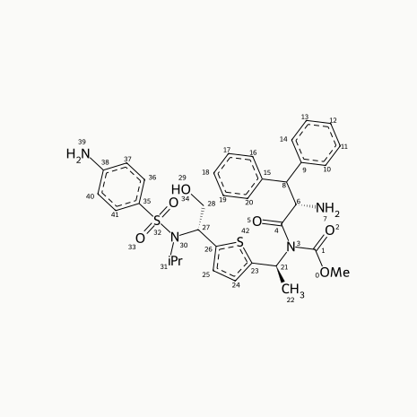 COC(=O)N(C(=O)[C@@H](N)C(c1ccccc1)c1ccccc1)[C@@H](C)c1ccc([C@@H](CO)N(C(C)C)S(=O)(=O)c2ccc(N)cc2)s1